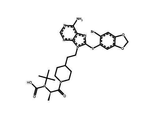 C[C@H](C(=O)N1CCC(CCn2c(Sc3cc4c(cc3Br)OCO4)nc3c(N)ncnc32)CC1)N(C(=O)O)C(C)(C)C